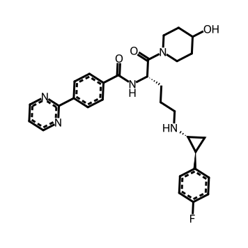 O=C(N[C@@H](CCCN[C@@H]1C[C@H]1c1ccc(F)cc1)C(=O)N1CCC(O)CC1)c1ccc(-c2ncccn2)cc1